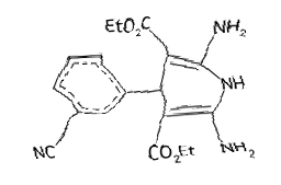 CCOC(=O)C1=C(N)NC(N)=C(C(=O)OCC)C1c1cccc(C#N)c1